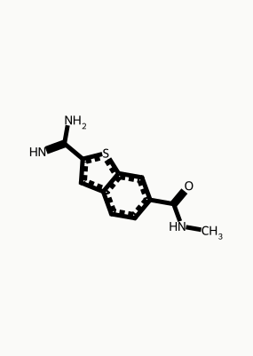 CNC(=O)c1ccc2cc(C(=N)N)sc2c1